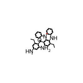 CCc1ccc(C(=O)c2c(N)cc(NC)cc2CC)c(N(C)c2ccccc2)c1Nc1ccccc1